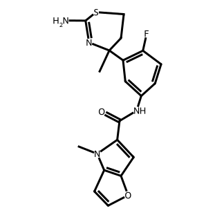 Cn1c(C(=O)Nc2ccc(F)c(C3(C)CCSC(N)=N3)c2)cc2occc21